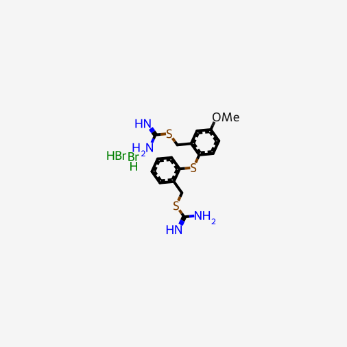 Br.Br.COc1ccc(Sc2ccccc2CSC(=N)N)c(CSC(=N)N)c1